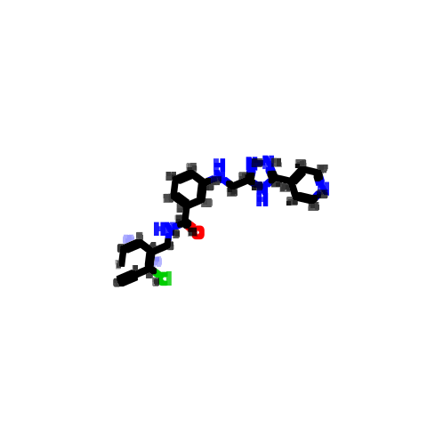 C#C/C(Cl)=C(\C=C/C)CNC(=O)c1cccc(NCc2nnc(-c3ccncc3)[nH]2)c1